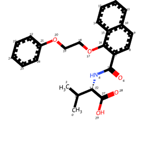 CC(C)[C@H](NC(=O)c1ccc2ccccc2c1OCCOc1ccccc1)C(=O)O